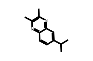 Cc1nc2ccc(C(C)C)cc2nc1C